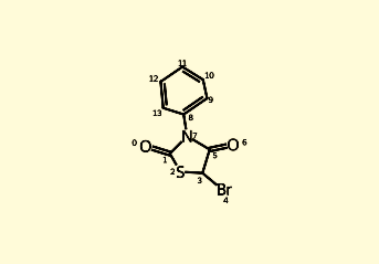 O=C1SC(Br)C(=O)N1c1ccccc1